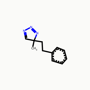 CC1(CCc2ccccc2)C=NN=N1